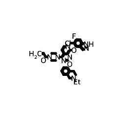 C=CC(=O)N1CCN(c2nc(Oc3cccc4c3CCN(CC)C4)nc3c(Oc4c(Cl)c(F)cc5[nH]ncc45)nccc23)CC1